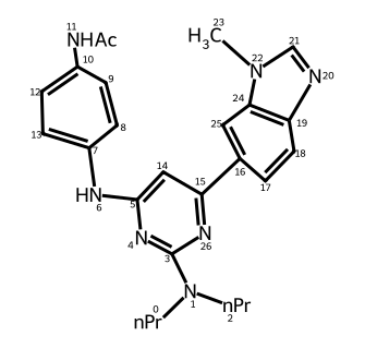 CCCN(CCC)c1nc(Nc2ccc(NC(C)=O)cc2)cc(-c2ccc3ncn(C)c3c2)n1